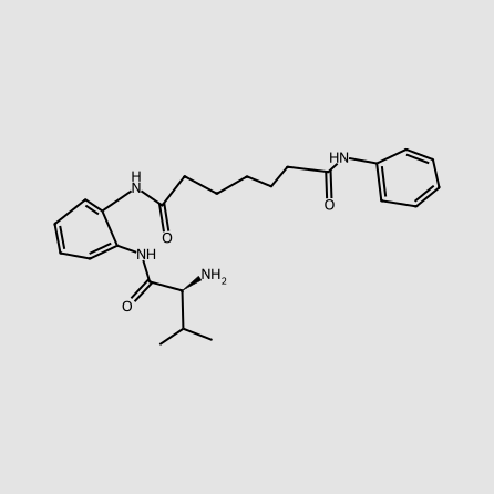 CC(C)[C@H](N)C(=O)Nc1ccccc1NC(=O)CCCCCC(=O)Nc1ccccc1